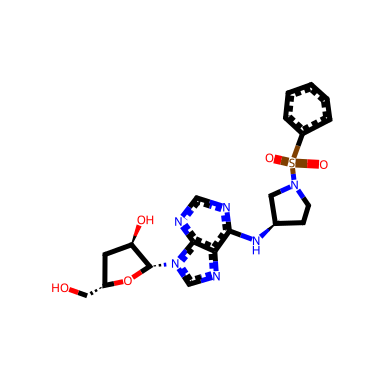 O=S(=O)(c1ccccc1)N1CC[C@@H](Nc2ncnc3c2ncn3[C@@H]2O[C@H](CO)C[C@H]2O)C1